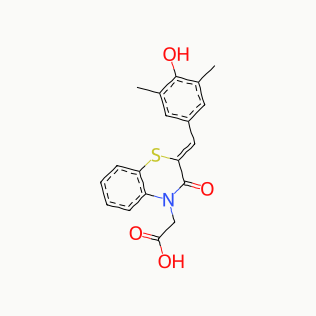 Cc1cc(/C=C2\Sc3ccccc3N(CC(=O)O)C2=O)cc(C)c1O